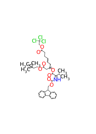 CC(C)[C@H](NC(=O)OCC1c2ccccc2-c2ccccc21)C(=O)O[C@H](CC=CCCC(=O)OCC(Cl)(Cl)Cl)CC(=O)OCC[Si](C)(C)C